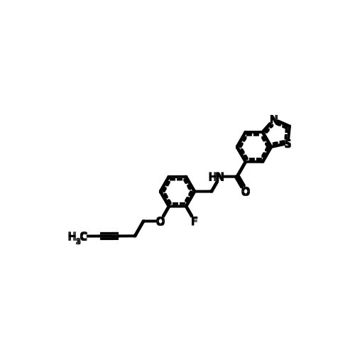 CC#CCCOc1cccc(CNC(=O)c2ccc3ncsc3c2)c1F